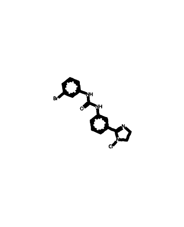 O=C(Nc1cccc(Br)c1)Nc1cccc(C2=NCCN2Cl)c1